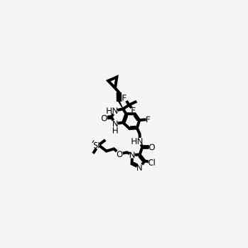 CC(F)(F)[C@@]1(C#CC2CC2)NC(=O)Nc2cc(CNC(=O)c3c(Cl)ncn3COCC[Si](C)(C)C)c(F)cc21